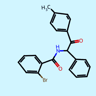 Cc1ccc(C(=O)C(NC(=O)c2ccccc2Br)c2ccccc2)cc1